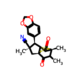 CC1C(=O)[C@]23C[C@@](C)(C#N)[C@@H](c4ccc5c(c4)OCO5)C2C(=O)[C@]1(C)SS3